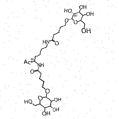 CC(=O)[C@@H](CCCCNC(=O)CCCCOC1OC(CO)C(O)C(O)[C@H]1O)NC(=O)CCCCOC1OC(CO)C(O)C(O)C1O